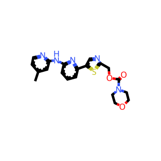 Cc1ccnc(Nc2cccc(-c3cnc(COC(=O)N4CCOCC4)s3)n2)c1